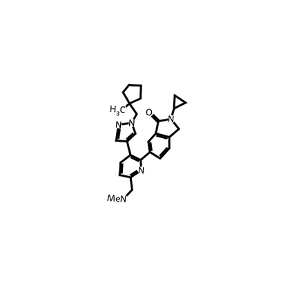 CNCc1ccc(-c2cnn(CC3(C)CCCC3)c2)c(-c2ccc3c(c2)C(=O)N(C2CC2)C3)n1